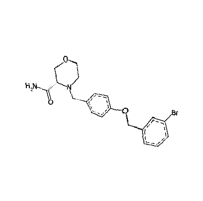 NC(=O)[C@@H]1COCCN1Cc1ccc(OCc2cccc(Br)c2)cc1